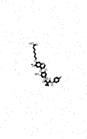 COc1cc2c(Oc3ccc(NC(=O)C4(C(=O)Nc5ccc(F)cc5)CC4)cc3Cl)ccnc2cc1OCCCCCCC(=O)O.N